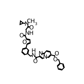 CN(C(=O)CNC(=O)c1ccc(-c2cccc(CNC(=O)c3cn4cc(C(=O)OCc5ccccc5)ccc4n3)c2)o1)C1CC1